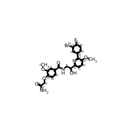 COc1cc(C(=O)NCC(O)c2ccc(OC)c(-c3ccc(F)c(Br)c3)n2)ccc1OCC(N)=O